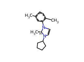 Cc1ccc(C)c(N2C=CN(C3CCCC3)[C@H]2C)c1